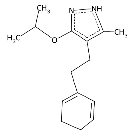 Cc1[nH]nc(OC(C)C)c1CCC1=CCCC=C1